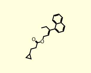 CC/C(=C\COC(=O)CCC1CC1)c1cccc2ccccc12